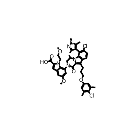 COCCn1c(C(=O)O)cc2cc(OC)cc(N3CC(C)n4c(c(CCCOc5cc(C)c(Cl)c(C)c5)c5ccc(Cl)c(-c6c(C)nn(C)c6C)c54)C3=O)c21